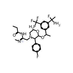 CCC(=O)N/C(CN1CCOC(OC(C)c2cc(C(C)(F)P)cc(C(F)(F)P)c2)C1c1ccc(F)cc1)=N\C